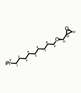 CC(C)CCCCCCCCCOCC1CO1